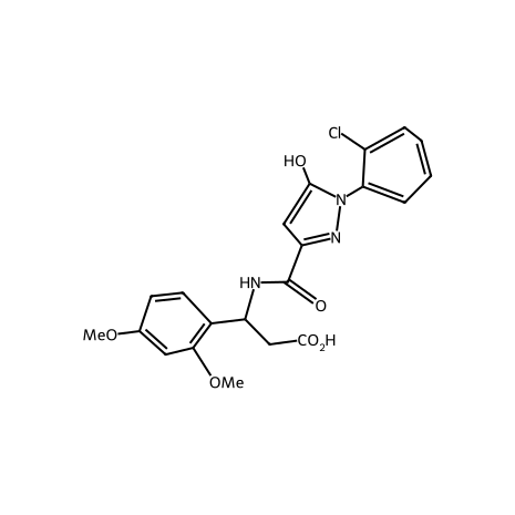 COc1ccc(C(CC(=O)O)NC(=O)c2cc(O)n(-c3ccccc3Cl)n2)c(OC)c1